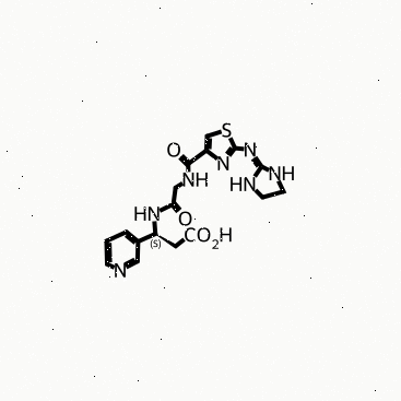 O=C(O)C[C@H](NC(=O)CNC(=O)c1csc(N=C2NCCN2)n1)c1cccnc1